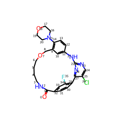 O=C1NCCCCOCc2cc(ccc2N2CCOCC2)Nc2ncc(Cl)c(n2)-c2ccc1cc2F